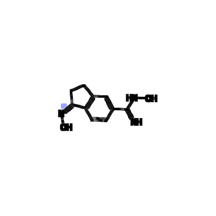 N=C(NO)c1ccc2c(c1)CC/C2=N/O